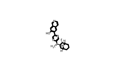 CN(c1cnc(-c2cc3ccncc3cc2O)cn1)[C@@H]1C[C@H]2CCC[C@H](N2)[C@H]1F